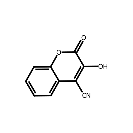 N#Cc1c(O)c(=O)oc2ccccc12